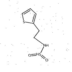 O=[SH](=O)NCCc1cccs1